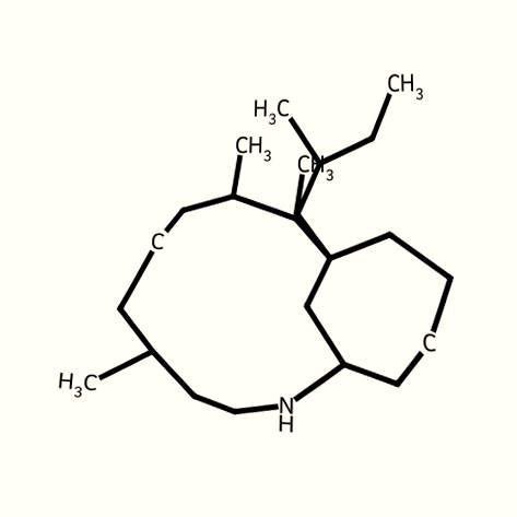 CCC(C)CC12CCCCC(C1)NCCC(C)CCCC(C)C2C